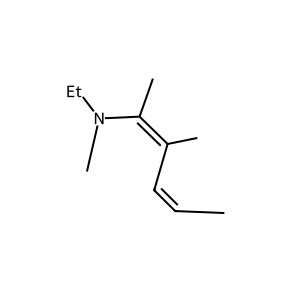 C/C=C\C(C)=C(\C)N(C)CC